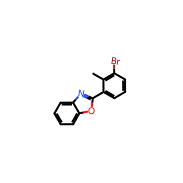 Cc1c(Br)cccc1-c1nc2ccccc2o1